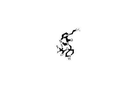 C=CCn1ccc2ncn(CC3(OC(=O)C(F)(F)F)CCNCC3)c(=O)c21